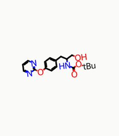 CC(C)(C)OC(=O)NC(CO)Cc1ccc(Oc2ncccn2)cc1